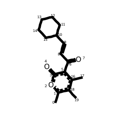 Cc1oc(=O)c(C(=O)/C=C/C2CCCCC2)c(C)c1C